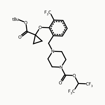 CC(C)(C)OC(=O)C1(Oc2c(CN3CCN(C(=O)OC(C(F)(F)F)C(F)(F)F)CC3)cccc2C(F)(F)F)CC1